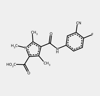 Cc1c(C(=O)Nc2ccc(F)c(C#N)c2)c(C)n(C)c1C(=O)C(=O)O